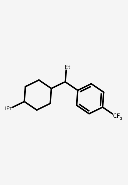 CCC(c1ccc(C(F)(F)F)cc1)C1CCC(C(C)C)CC1